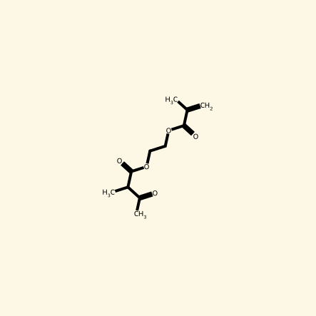 C=C(C)C(=O)OCCOC(=O)C(C)C(C)=O